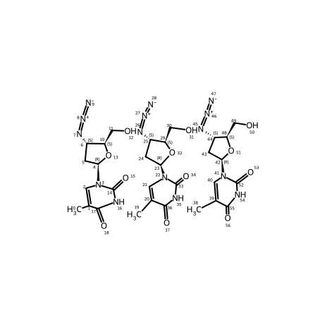 Cc1cn([C@H]2C[C@H](N=[N+]=[N-])[C@@H](CO)O2)c(=O)[nH]c1=O.Cc1cn([C@H]2C[C@H](N=[N+]=[N-])[C@@H](CO)O2)c(=O)[nH]c1=O.Cc1cn([C@H]2C[C@H](N=[N+]=[N-])[C@@H](CO)O2)c(=O)[nH]c1=O